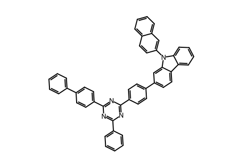 c1ccc(-c2ccc(-c3nc(-c4ccccc4)nc(-c4ccc(-c5ccc6c7ccccc7n(-c7ccc8ccccc8c7)c6c5)cc4)n3)cc2)cc1